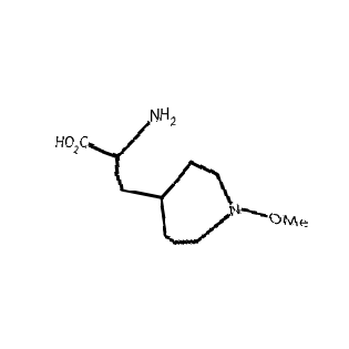 CON1CCC(CC(N)C(=O)O)CC1